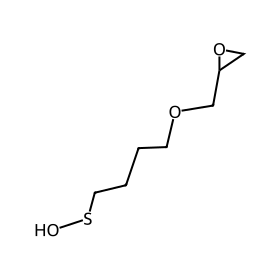 OSCCCCOCC1CO1